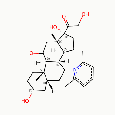 C[C@]12CC[C@@H](O)C[C@H]1CC[C@@H]1[C@@H]2C(=O)C[C@@]2(C)[C@H]1CC[C@]2(O)C(=O)CO.Cc1cccc(C)n1